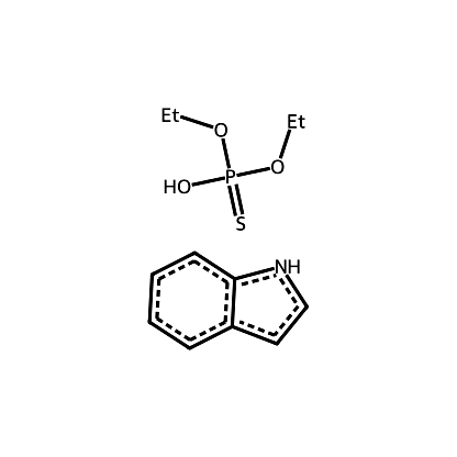 CCOP(O)(=S)OCC.c1ccc2[nH]ccc2c1